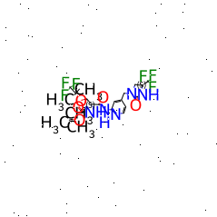 CC(C)(C)OC(=O)N[C@@H](COC(C)(C)C(F)(F)F)C(=O)Nc1cc(CN2C[C@@H](C(F)(F)F)NC2=O)ccn1